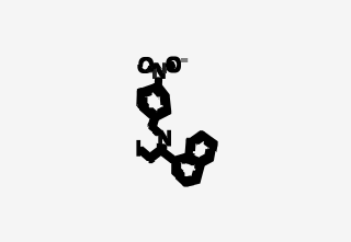 O=[N+]([O-])c1ccc(CN=C(CI)c2cccc3ccccc23)cc1